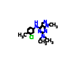 CCN(CC)c1nc(Nc2ccc(C)c(Cl)c2)c2cnn(C)c2n1